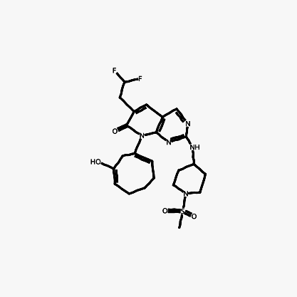 CS(=O)(=O)N1CCC(Nc2ncc3cc(CC(F)F)c(=O)n(C4=CCCCC=C(O)C4)c3n2)CC1